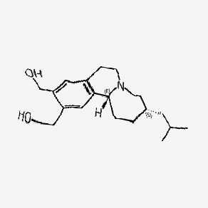 CC(C)C[C@@H]1CC[C@@H]2c3cc(CO)c(CO)cc3CCN2C1